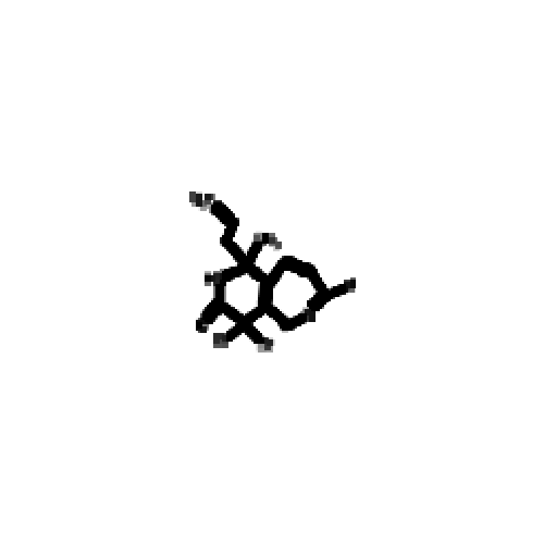 C=CCC1(C)NC(=O)C(CC)(CC)C2=C1C=CC(Cl)=NC2